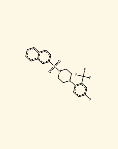 O=S(=O)(c1ccc2ccccc2c1)N1CCN(c2ccc(F)cc2C(F)(F)F)CC1